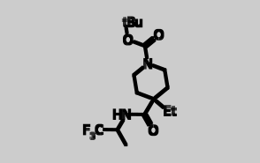 CCC1(C(=O)NC(C)C(F)(F)F)CCN(C(=O)OC(C)(C)C)CC1